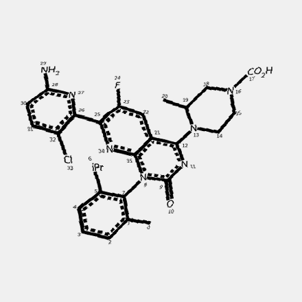 Cc1cccc(C(C)C)c1-n1c(=O)nc(N2CCN(C(=O)O)CC2C)c2cc(F)c(-c3nc(N)ccc3Cl)nc21